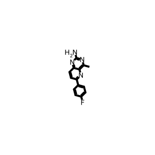 Cc1nc(N)nc2ccc(-c3ccc(F)cc3)nc12